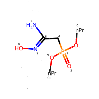 CCCOP(=O)(CC(N)=NO)OCCC